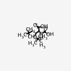 CC(C)(C)C[C@@H](OC(C)(C)C)[C@H](NC(=O)O)C(=O)O